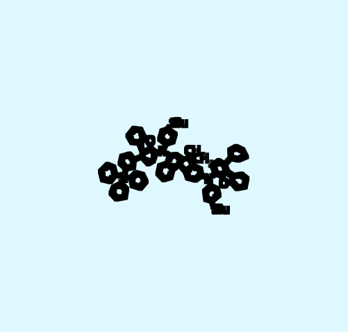 CC(C)(C)c1ccc(N(c2ccc3c(c2)C(C)(C)c2cc(N(c4ccc(C(C)(C)C)cc4)c4ccc(-c5cccc([Si](c6ccccc6)(c6ccccc6)c6ccccc6)c5)c5c4oc4ccccc45)c4ccccc4c2-3)c2ccc(-c3ccccc3)c3c2oc2ccccc23)cc1